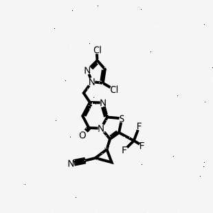 N#CC1CC1c1c(C(F)(F)F)sc2nc(Cn3nc(Cl)cc3Cl)cc(=O)n12